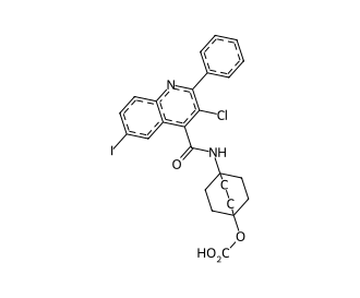 O=C(O)OC12CCC(NC(=O)c3c(Cl)c(-c4ccccc4)nc4ccc(I)cc34)(CC1)CC2